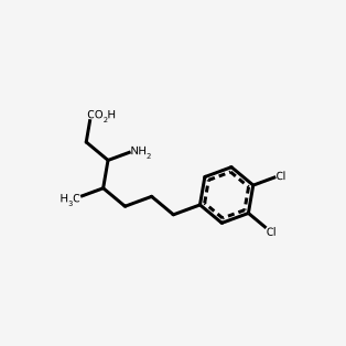 CC(CCCc1ccc(Cl)c(Cl)c1)C(N)CC(=O)O